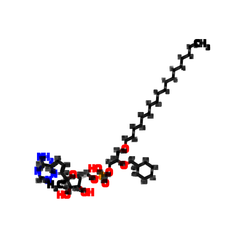 CCCCCCCCCCCCCCCCCCOC[C@H](COP(=O)(O)OC[C@H]1O[C@@](C)(c2ccc3c(N)ncnn23)[C@H](O)[C@@H]1O)OCC1CCCCC1